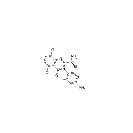 CC[C@H](N)c1nc2c(Cl)ccc(Cl)c2c(=O)n1-c1cnc(N)cc1C